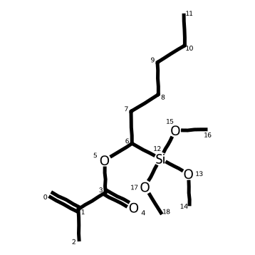 C=C(C)C(=O)OC(CCCCC)[Si](OC)(OC)OC